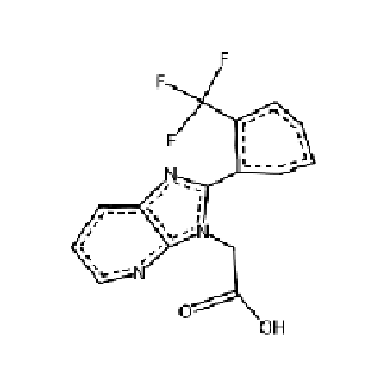 O=C(O)Cn1c(-c2ccccc2C(F)(F)F)nc2cccnc21